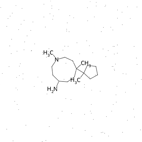 CN1CCC(N)CCC(C)(C2(C)CCCC2)CC1